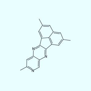 Cc1cc2c3c(cc(C)cc3c1)-c1nc3cc(C)ncc3nc1-2